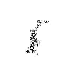 COC(=O)CCCCCNc1ccc(S(=O)(=O)C[C@](C)(O)C(=O)Nc2ccc(C#N)c(C(F)(F)F)c2)cc1